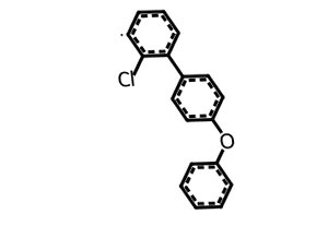 Clc1[c]cccc1-c1ccc(Oc2ccccc2)cc1